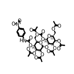 CC(=O)OC[C@@H]1O[C@H](OC(C)=O)[C@@H](O[C@H]2O[C@H](COC(C)=O)[C@@H](OC(=O)Nc3ccc([N+](=O)[O-])cc3)[C@H](OC(C)=O)[C@@H]2OC(C)=O)[C@@H](OC(C)=O)[C@@H]1OC(C)=O